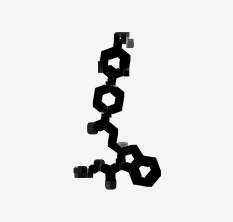 CC(C)(C)OC(=O)N1c2ccccc2C[C@@H]1CCC(=O)N1CCN(c2ncc(C(F)(F)F)cn2)CC1